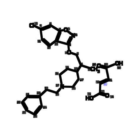 CC(COc1noc2cc(Cl)ccc12)C1CCN(CCc2ccccc2)CC1.O=C(O)/C=C/C(=O)O